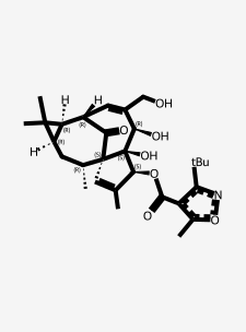 CC1=C[C@]23C(=O)[C@@H](C=C(CO)[C@@H](O)[C@]2(O)[C@H]1OC(=O)c1c(C(C)(C)C)noc1C)[C@H]1[C@@H](C[C@H]3C)C1(C)C